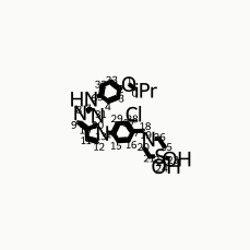 CC(C)Oc1ccc(Nc2ncc3ccn(-c4ccc(CN5CCS(O)(O)CC5)c(Cl)c4)c3n2)cc1